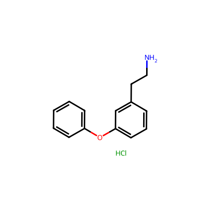 Cl.NCCc1cccc(Oc2ccccc2)c1